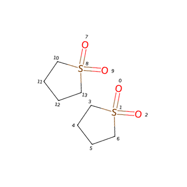 O=S1(=O)CCCC1.O=S1(=O)CCCC1